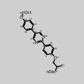 CCCCCCCCCCC(F)COc1ccc(-c2ncc(-c3ccc(OCCCCCCCC)cc3)cn2)cc1